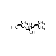 C/C=C(/C)CN/C=C(/C)NCC=C(C)C